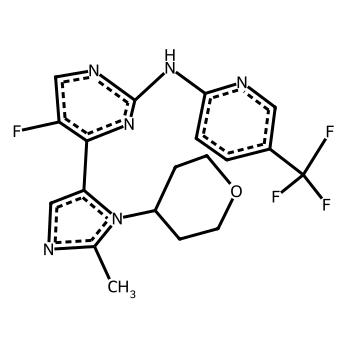 Cc1ncc(-c2nc(Nc3ccc(C(F)(F)F)cn3)ncc2F)n1C1CCOCC1